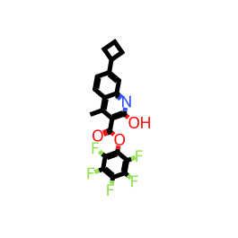 Cc1c(C(=O)Oc2c(F)c(F)c(F)c(F)c2F)c(O)nc2cc(C3CCC3)ccc12